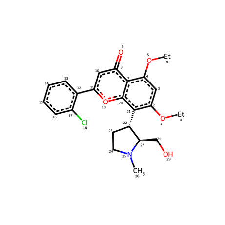 CCOc1cc(OCC)c2c(=O)cc(-c3ccccc3Cl)oc2c1[C@H]1CCN(C)[C@@H]1CO